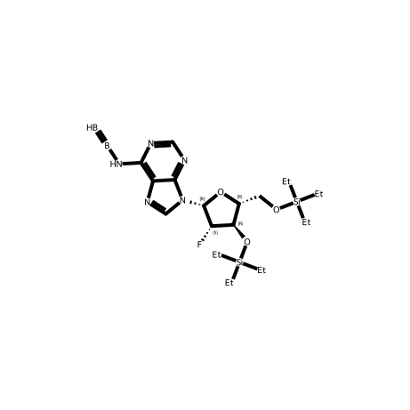 B=BNc1ncnc2c1ncn2[C@@H]1O[C@H](CO[Si](CC)(CC)CC)[C@@H](O[Si](CC)(CC)CC)[C@@H]1F